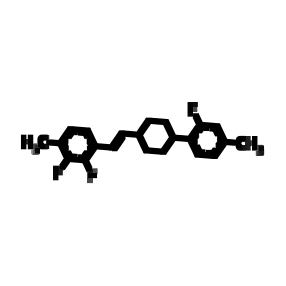 Cc1ccc(C2CCC(/C=C/c3ccc(C)c(F)c3F)CC2)c(F)c1